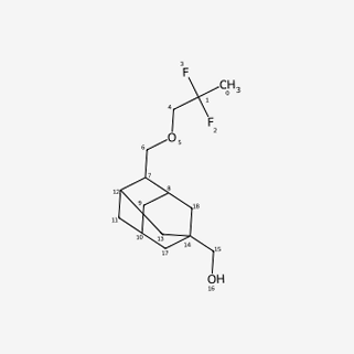 CC(F)(F)COCC1C2CC3CC1CC(CO)(C3)C2